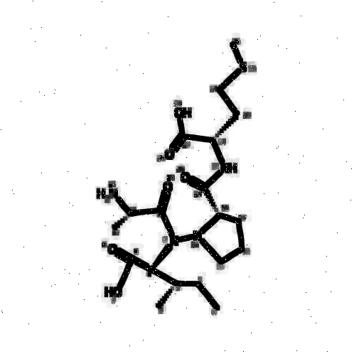 CC[C@H](C)[C@@H](C(=O)O)N(C(=O)[C@H](C)N)N1CCC[C@H]1C(=O)N[C@@H](CCSC)C(=O)O